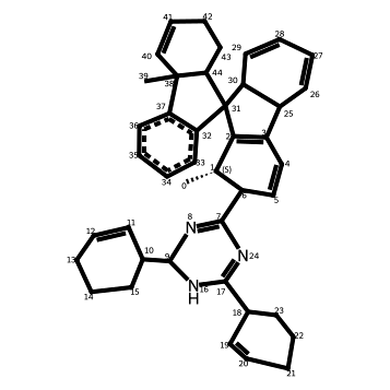 C[C@@H]1C2=C(C=CC1C1=NC(C3C=CCCC3)NC(C3C=CCCC3)=N1)C1C=CC=CC1C21c2ccccc2C2(C)C=CCCC21